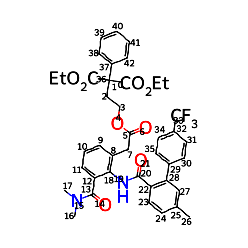 CCOC(=O)C(CCOC(=O)Cc1cccc(C(=O)N(C)C)c1NC(=O)c1ccc(C)cc1-c1ccc(C(F)(F)F)cc1)(C(=O)OCC)c1ccccc1